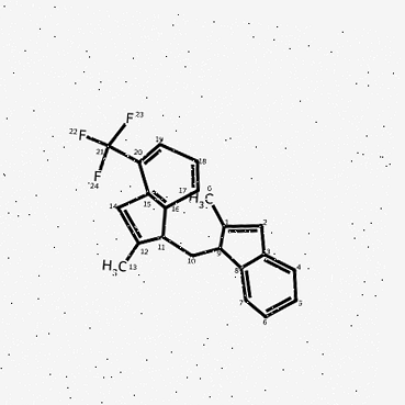 CC1=Cc2ccccc2C1CC1C(C)=Cc2c1cccc2C(F)(F)F